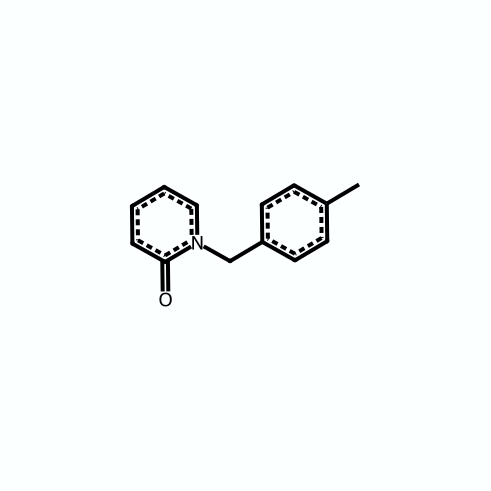 Cc1ccc(Cn2ccccc2=O)cc1